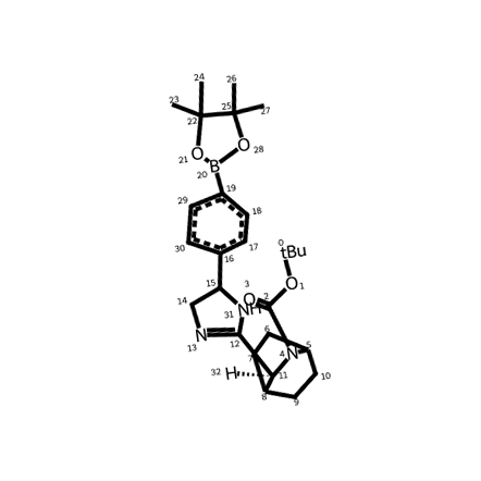 CC(C)(C)OC(=O)N1C2CCC(CC2)[C@H]1C1=NCC(c2ccc(B3OC(C)(C)C(C)(C)O3)cc2)N1